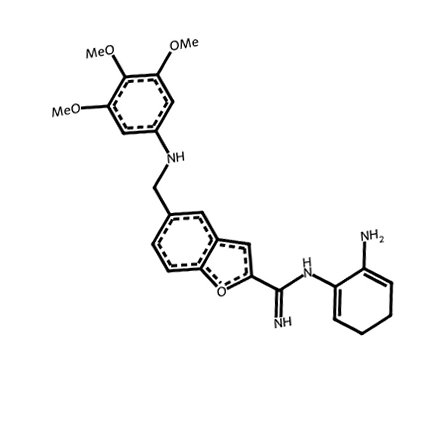 COc1cc(NCc2ccc3oc(C(=N)NC4=CCCC=C4N)cc3c2)cc(OC)c1OC